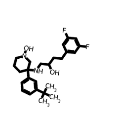 CC(C)(C)c1cccc(C2(NCC(O)CCc3cc(F)cc(F)c3)CCCN(O)C2)c1